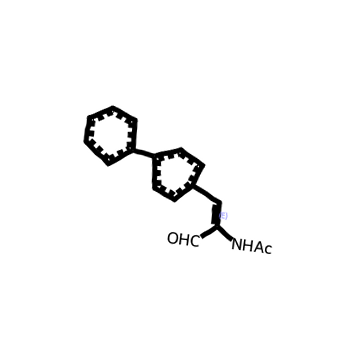 CC(=O)N/C(C=O)=C/c1ccc(-c2ccccc2)cc1